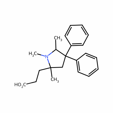 CC1N(C)C(C)(CCC(=O)O)CC1(c1ccccc1)c1ccccc1